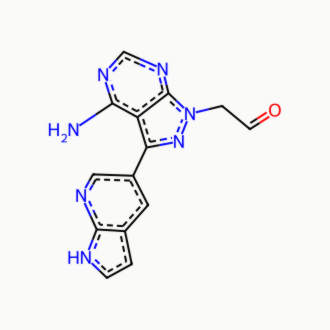 Nc1ncnc2c1c(-c1cnc3[nH]ccc3c1)nn2CC=O